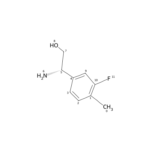 Cc1ccc([C@H](N)CO)cc1F